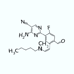 CCCCCN(C)/C=C\c1cc(-c2ncc(C#N)c(N)n2)c(F)cc1C=O